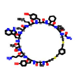 CCC[C@@H]1NC(=O)[C@H](Cc2c[nH]c3ncccc23)NC(=O)[C@H]([C@@H](C)O)NC(=O)[C@H](CCCCN)NC(=O)[C@H](Cc2ccc(O)cc2)NC(=O)[C@H](C(C)(C)C)NC(=O)CCSCc2cccc(c2)CSC[C@@H](C(N)=O)NC(=O)C(C)(C)NC(=O)[C@H](C2CCCCC2)NC(=O)[C@H](Cc2ccc(O)cc2)NC(=O)[C@H](CCC(=O)O)NC1=O